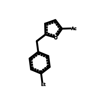 CCc1ccc(Cc2ccc(C(C)=O)o2)cc1